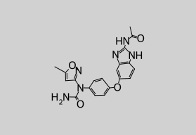 CC(=O)Nc1nc2cc(Oc3ccc(N(C(N)=O)c4cc(C)on4)cc3)ccc2[nH]1